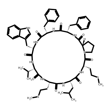 CSCC[C@@H]1NC(=O)[C@H](C(C)C)NC(=O)[C@H](Cc2c[nH]c3ccccc23)NC(=O)[C@H](Cc2ccccc2)NC(=O)[C@H](Cc2ccccc2)NC(=O)[C@@H]2CCCN2C(=O)[C@H](CCSC)NC(=O)[C@H](CC(C)C)NC1=O